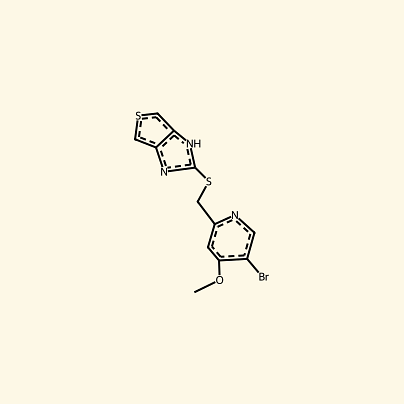 COc1cc(CSc2nc3cscc3[nH]2)ncc1Br